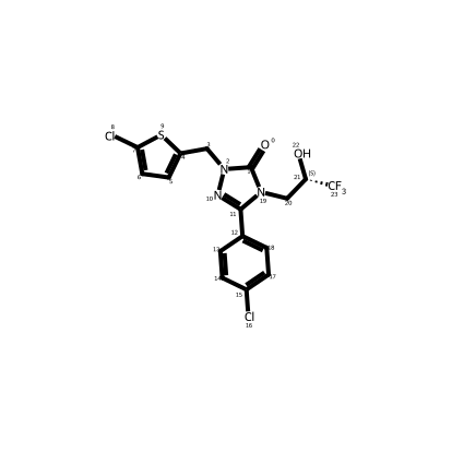 O=c1n(Cc2ccc(Cl)s2)nc(-c2ccc(Cl)cc2)n1C[C@H](O)C(F)(F)F